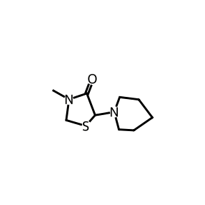 CN1CSC(N2CCCCC2)C1=O